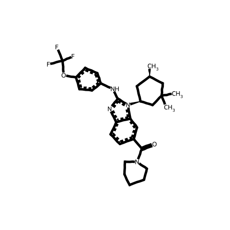 C[C@@H]1C[C@H](n2c(Nc3ccc(OC(F)(F)F)cc3)nc3ccc(C(=O)N4CCCCC4)cc32)CC(C)(C)C1